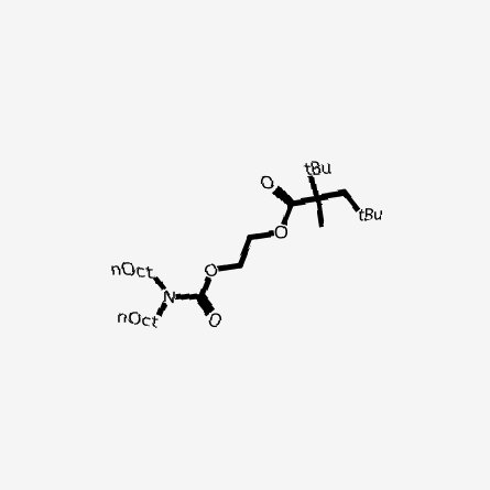 CCCCCCCCN(CCCCCCCC)C(=O)OCCOC(=O)C(C)(CC(C)(C)C)C(C)(C)C